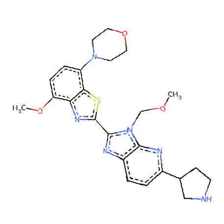 COCn1c(-c2nc3c(OC)ccc(N4CCOCC4)c3s2)nc2ccc(C3CCNC3)nc21